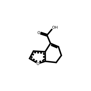 O=C(O)C1=CCCc2occc21